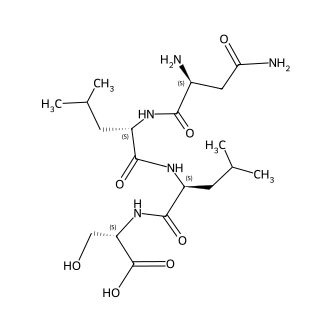 CC(C)C[C@H](NC(=O)[C@H](CC(C)C)NC(=O)[C@@H](N)CC(N)=O)C(=O)N[C@@H](CO)C(=O)O